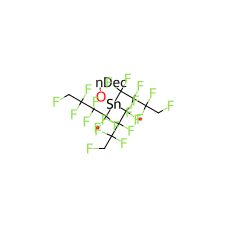 CCCCCCCCCC[O][Sn]([C](F)(F)C(F)(F)C(F)(F)CF)([C](F)(F)C(F)(F)C(F)(F)CF)[C](F)(F)C(F)(F)C(F)(F)CF